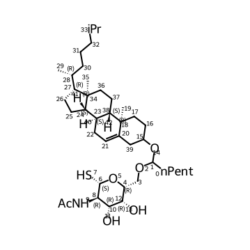 CCCCCC(OC[C@H]1O[C@@H](S)[C@H](NC(C)=O)[C@@H](O)[C@H]1O)OC1CC[C@@]2(C)C(=CC[C@H]3[C@@H]4CC[C@H]([C@H](C)CCCC(C)C)[C@@]4(C)CC[C@@H]32)C1